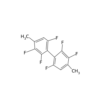 Cc1cc(F)c(-c2c(F)cc(C)c(F)c2F)c(F)c1F